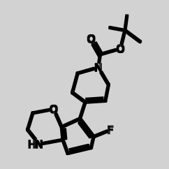 CC(C)(C)OC(=O)N1CC=C(c2c(F)ccc3c2OCCN3)CC1